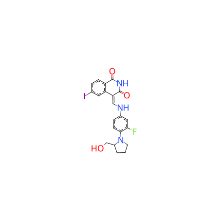 O=C1NC(=O)c2ccc(I)cc2C1=CNc1ccc(N2CCCC2CO)c(F)c1